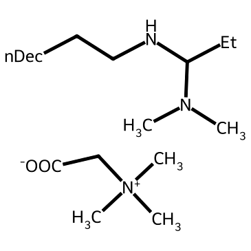 CCCCCCCCCCCCNC(CC)N(C)C.C[N+](C)(C)CC(=O)[O-]